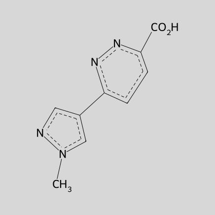 Cn1cc(-c2ccc(C(=O)O)nn2)cn1